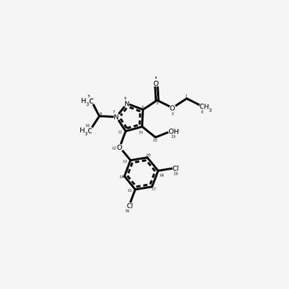 CCOC(=O)c1nn(C(C)C)c(Oc2cc(Cl)cc(Cl)c2)c1CO